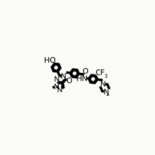 Cc1ccc(C(=O)Nc2ccc(CN3CCN(C)CC3)c(C(F)(F)F)c2)cc1Oc1nc(-c2ccc(O)cc2)nc2c1cnn2C